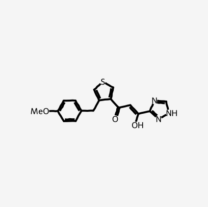 COc1ccc(Cc2cscc2C(=O)C=C(O)c2nc[nH]n2)cc1